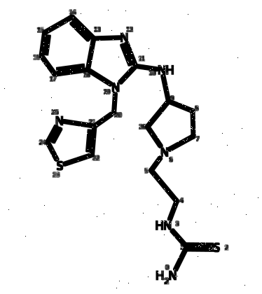 NC(=S)NCCN1CCC(Nc2nc3ccccc3n2Cc2cscn2)C1